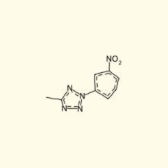 Cc1nnn(-c2cccc([N+](=O)[O-])c2)n1